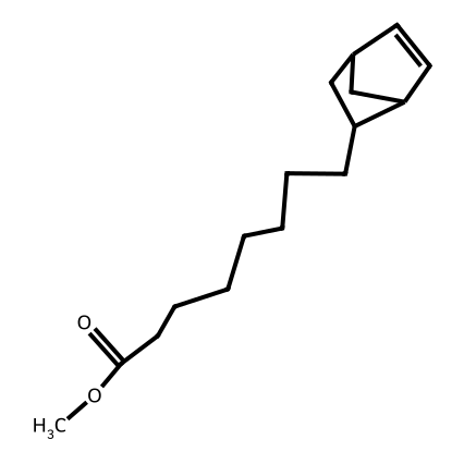 COC(=O)CCCCCCCC1CC2C=CC1C2